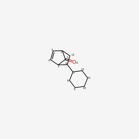 O=C1C2C=CC1C(C1CCCCC1)C2